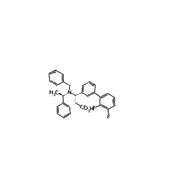 C[C@H](c1ccccc1)N(Cc1ccccc1)[C@@H](CC(=O)O)c1cccc(-c2cccc(F)c2F)c1